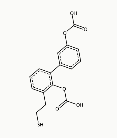 O=C(O)Oc1cccc(-c2cccc(CCS)c2OC(=O)O)c1